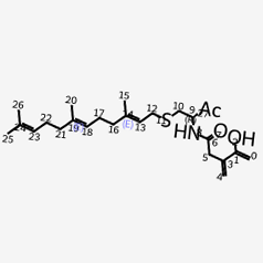 C=C(O)C(=C)CC(=O)N[C@@H](CSC/C=C(\C)CC/C=C(\C)CCC=C(C)C)C(C)=O